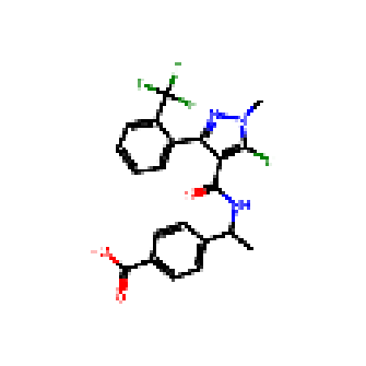 CC(NC(=O)c1c(-c2ccccc2C(F)(F)F)nn(C)c1Cl)c1ccc(C(=O)O)cc1